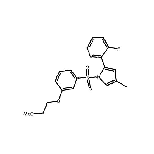 [CH2]c1cc(-c2ccccc2F)n(S(=O)(=O)c2cccc(OCCOC)c2)c1